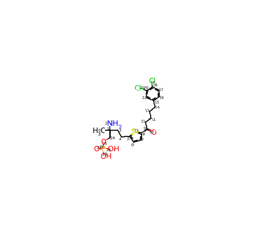 CC(N)(CCc1ccc(C(=O)CCCCc2ccc(Cl)c(Cl)c2)s1)COP(=O)(O)O